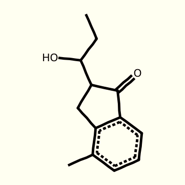 CCC(O)C1Cc2c(C)cccc2C1=O